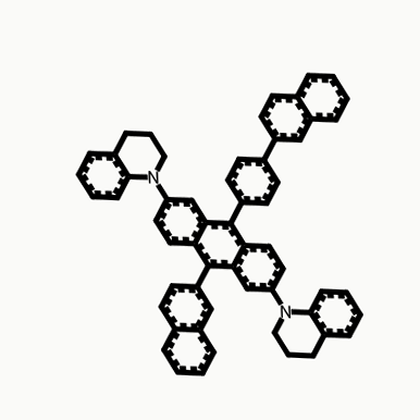 c1ccc2c(c1)CCCN2c1ccc2c(-c3ccc4ccccc4c3)c3cc(N4CCCc5ccccc54)ccc3c(-c3ccc(-c4ccc5ccccc5c4)cc3)c2c1